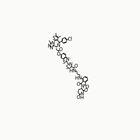 Cc1sc2c(c1C)C(c1ccc(Cl)cc1)=N[C@@H](CC(=O)Oc1ccc3nc(C4N=C(C(=O)NCCCNc5cccc6c5C(=O)N(C5CCC(=O)NC5=O)C6=O)CS4)sc3c1)c1nnc(C)n1-2